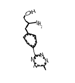 Cc1nnc(-c2ccc(CC(N)CO)cc2)nn1